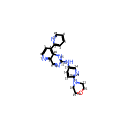 c1ccc(-c2ccnc3cnc(Nc4ccc(N5CCOCC5)nc4)nc23)nc1